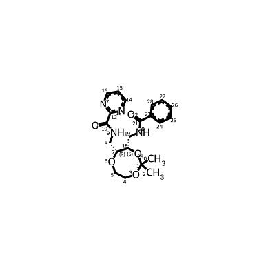 CC1(C)OCCO[C@H](CNC(=O)c2ncccn2)[C@H](CNC(=O)c2ccccc2)O1